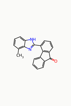 Cc1cccc2[nH]c(-c3cccc4c3-c3ccccc3C4=O)nc12